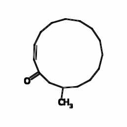 CC1CCCCCCCCCCC=CC(=O)C1